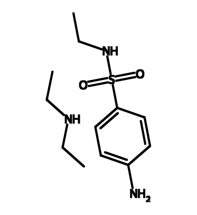 CCNCC.CCNS(=O)(=O)c1ccc(N)cc1